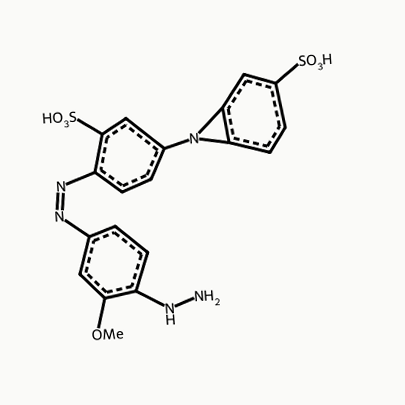 COc1cc(/N=N\c2ccc(N3c4ccc(S(=O)(=O)O)cc43)cc2S(=O)(=O)O)ccc1NN